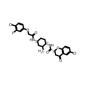 CC1C[C@H](NC(=O)COc2ccc(Cl)c(F)c2)CC[C@@H]1NC(=O)[C@H]1CC(=O)c2cc(Cl)ccc2O1